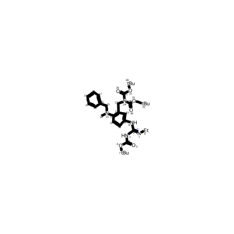 CC/N=C(/NC(=O)OC(C)(C)C)Nc1ccc(N(C)Cc2ccccc2)c(CN(C(=O)OC(C)(C)C)C(=O)OC(C)(C)C)c1